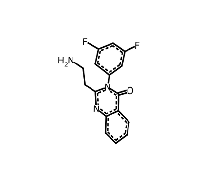 NCCc1nc2ccccc2c(=O)n1-c1cc(F)cc(F)c1